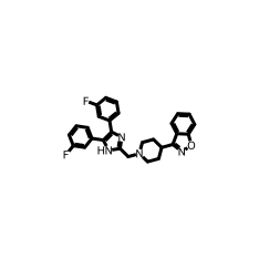 Fc1cccc(-c2nc(CN3CCC(c4noc5ccccc45)CC3)[nH]c2-c2cccc(F)c2)c1